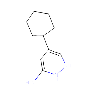 NC1=CC(C2CCCCC2)=CNN1